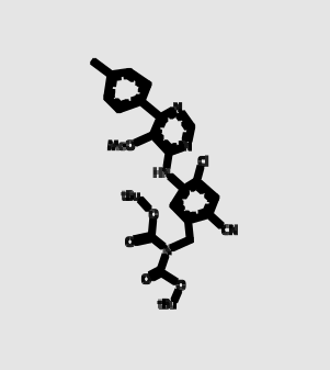 COc1c(Nc2cc(CN(C(=O)OC(C)(C)C)C(=O)OC(C)(C)C)c(C#N)cc2Cl)ncnc1-c1ccc(C)cc1